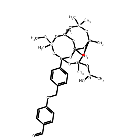 CO[Si]1(C)O[Si]2(C)O[Si](C)(C)O[Si]3(C)O[Si](C)(O[SiH](C)O)O[Si](c4ccc(COc5ccc(C=O)cc5)cc4)(O1)O[Si](C)(O2)O3